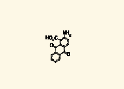 Nc1ccc2c(c1C(=O)O)C(=O)c1ccccc1C2=O